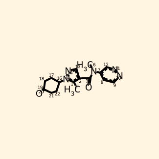 Cc1c(C(=O)N(C)c2ccnnc2)cnn1C1CCC(=O)CC1